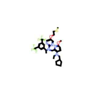 CCN(CC1CCCC1)c1ccc(OC)nc1CN(c1ncc(OCCSC)cn1)C(C)c1cc(C(F)(F)F)cc(C(F)(F)F)c1